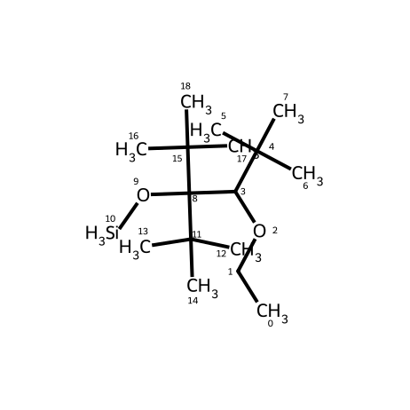 CCOC(C(C)(C)C)C(O[SiH3])(C(C)(C)C)C(C)(C)C